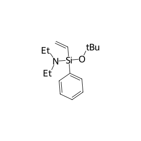 C=C[Si](OC(C)(C)C)(c1ccccc1)N(CC)CC